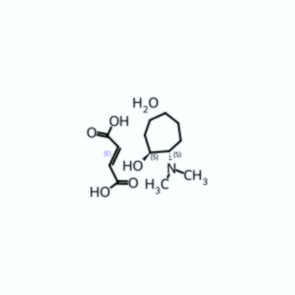 CN(C)[C@H]1CCCCC[C@@H]1O.O.O=C(O)/C=C/C(=O)O